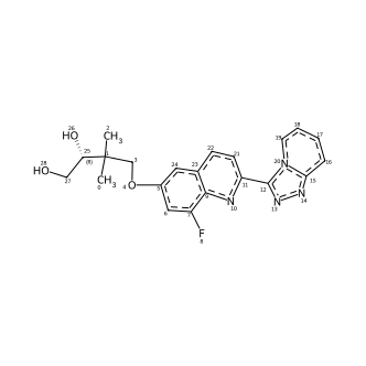 CC(C)(COc1cc(F)c2nc(-c3nnc4ccccn34)ccc2c1)[C@@H](O)CO